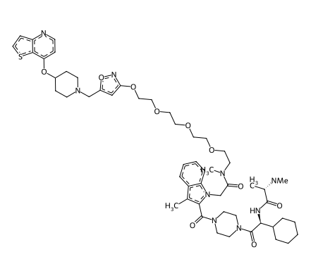 CN[C@@H](C)C(=O)N[C@H](C(=O)N1CCN(C(=O)c2c(C)c3ccccc3n2CC(=O)N(C)CCOCCOCCOCCOc2cc(CN3CCC(Oc4ccnc5ccsc45)CC3)on2)CC1)C1CCCCC1